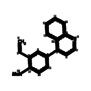 C=Cc1cc(-c2ccnc3ccccc23)ccc1NC